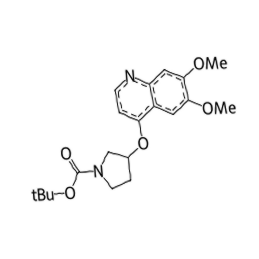 COc1cc2nccc(OC3CCN(C(=O)OC(C)(C)C)C3)c2cc1OC